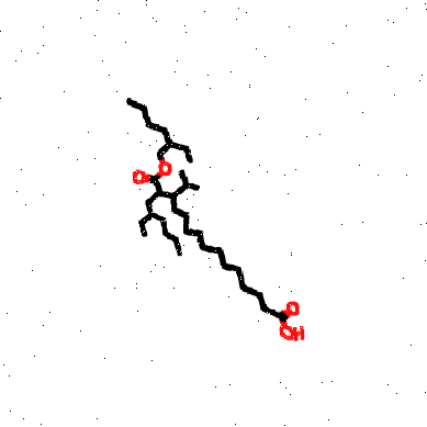 CCCCC(CC)COC(=O)C(CC(CC)CCCC)C(CCCCCCCCCCCC(=O)O)C(C)C